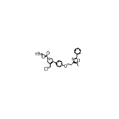 Cc1oc(-c2ccccc2)nc1CCOc1ccc(C2=C(CCl)CN(C(=O)OC(C)(C)C)C2)cc1